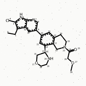 CCc1c(Cl)[nH]c2ncc(-c3cc4c(c([C@@H]5COCCN5)c3)CN(C(=O)COC)CC4)cc12